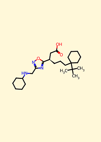 CC(C)(C)C1(CCC[C@H](CC(=O)O)c2nc(CNC3CCCCC3)no2)CCCCC1